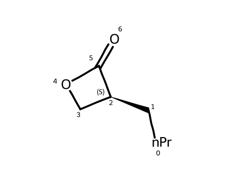 CCCC[C@H]1COC1=O